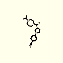 CC(C)N1CCCN(C(=O)[C@H]2CCN(c3ccc(C#N)cc3)C2)CC1